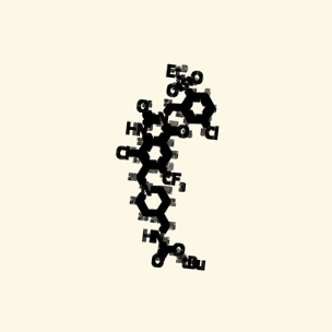 CCS(=O)(=O)c1ccc(Cl)cc1Cn1c(=O)[nH]c2c(Cl)c(CN3CCC(CNC(=O)OC(C)(C)C)CC3)c(C(F)(F)F)cc2c1=O